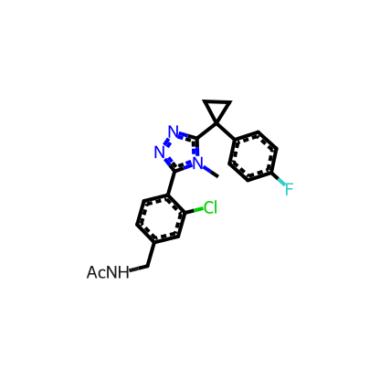 CC(=O)NCc1ccc(-c2nnc(C3(c4ccc(F)cc4)CC3)n2C)c(Cl)c1